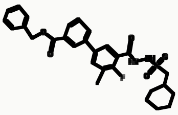 Cc1cc(-c2cccc(C(=O)OCc3ccccc3)c2)cc(C(=O)NNS(=O)(=O)CC2CCCCC2)c1F